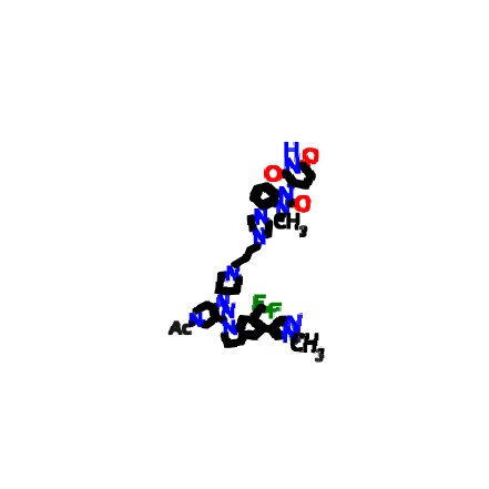 CC(=O)N1CCc2c(c(N3CCCc4cc(-c5cnn(C)c5)c(C(F)F)cc43)nn2C2CCN(CCCCN3CCN(c4cccc5c4n(C)c(=O)n5C4CCC(=O)NC4=O)CC3)CC2)C1